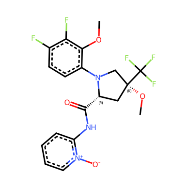 COc1c(N2C[C@@](OC)(C(F)(F)F)C[C@@H]2C(=O)Nc2cccc[n+]2[O-])ccc(F)c1F